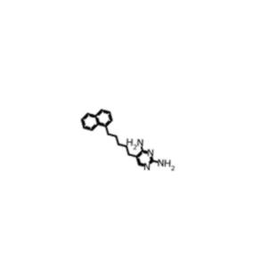 Nc1ncc(CCCCCc2cccc3ccccc23)c(N)n1